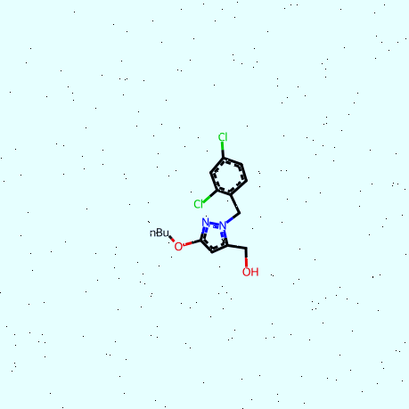 CCCCOc1cc(CO)n(Cc2ccc(Cl)cc2Cl)n1